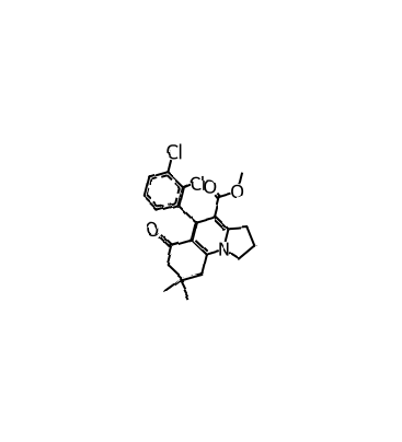 COC(=O)C1=C2CCCN2C2=C(C(=O)CC(C)(C)C2)C1c1cccc(Cl)c1Cl